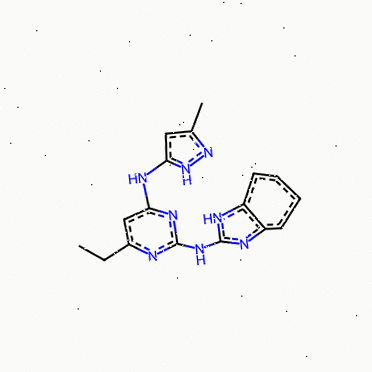 CCc1cc(Nc2cc(C)n[nH]2)nc(Nc2nc3ccccc3[nH]2)n1